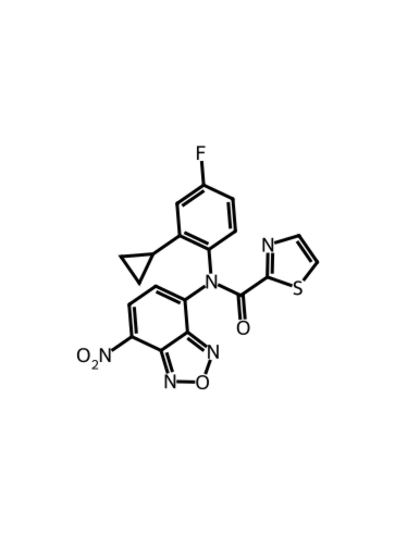 O=C(c1nccs1)N(c1ccc(F)cc1C1CC1)c1ccc([N+](=O)[O-])c2nonc12